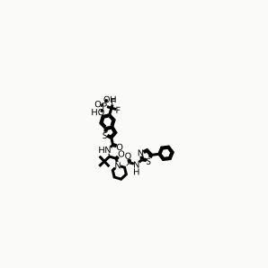 CC(C)(C)[C@H](NC(=O)c1cc2cc(C(F)(F)P(=O)(O)O)ccc2s1)C(=O)N1CCCC[C@H]1C(=O)Nc1ncc(-c2ccccc2)s1